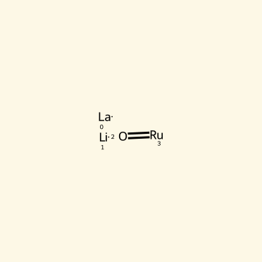 [La].[Li].[O]=[Ru]